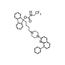 O=C(NCC(F)(F)F)OC1(CCCCN2CCN(c3ccc4cccc(-c5ccccc5)c4n3)CC2)c2ccccc2-c2ccccc21